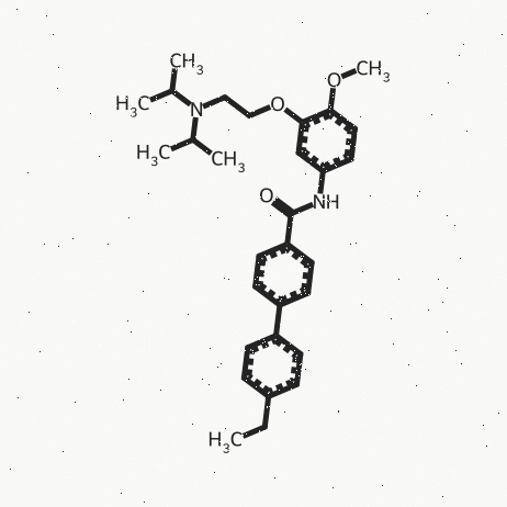 CCc1ccc(-c2ccc(C(=O)Nc3ccc(OC)c(OCCN(C(C)C)C(C)C)c3)cc2)cc1